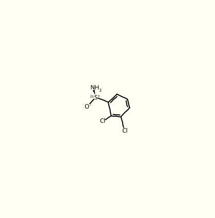 N[S@+]([O-])c1cccc(Cl)c1Cl